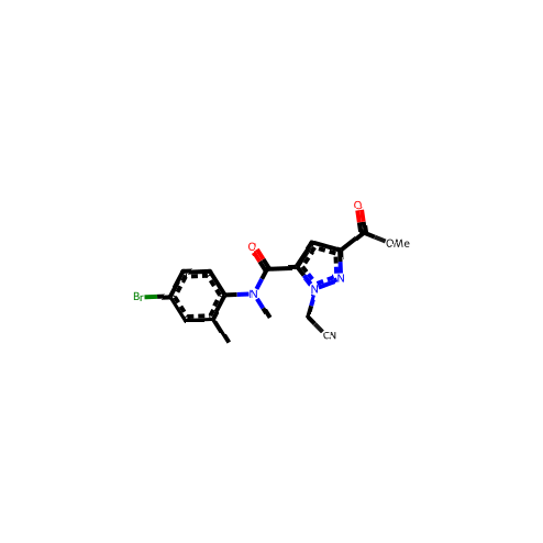 COC(=O)c1cc(C(=O)N(C)c2ccc(Br)cc2C)n(CC#N)n1